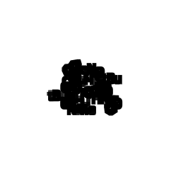 CN[C@@H](C)C(=O)NC(C(=O)N1CC(c2ccc3c(c2)CN(C(=O)[C@@H](NC(=O)[C@H](C)NC)C(C)(C)C)C(C(=O)NC2CCOc4ccccc42)C3)CC1C(=O)NC1CCCc2ccccc21)C(C)(C)C